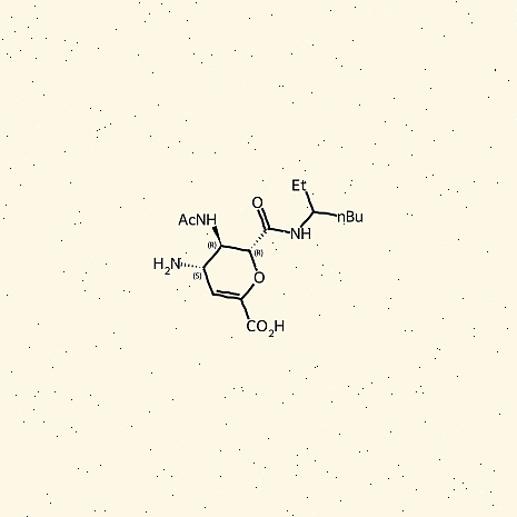 CCCCC(CC)NC(=O)[C@@H]1OC(C(=O)O)=C[C@H](N)[C@H]1NC(C)=O